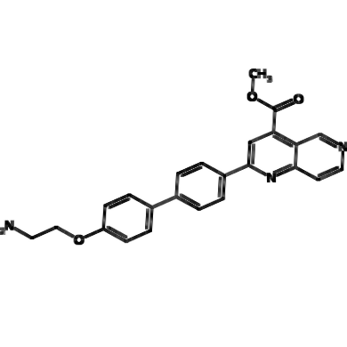 COC(=O)c1cc(-c2ccc(-c3ccc(OCCN)cc3)cc2)nc2ccncc12